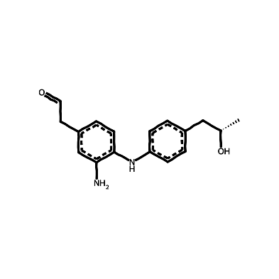 C[C@H](O)Cc1ccc(Nc2ccc(CC=O)cc2N)cc1